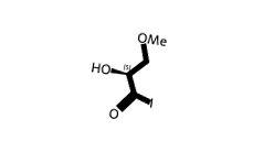 COC[C@H](O)C(=O)I